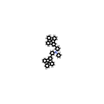 c1ccc(N(c2cccc(-c3ccc4c(c3)-c3ccccc3C4(c3ccccc3)c3ccccc3)c2)c2cccc(-c3ccc4c(c3)-c3ccccc3C4(c3ccccc3)c3ccccc3)c2)cc1